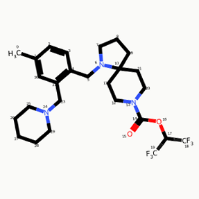 Cc1ccc(CN2CCCC23CCN(C(=O)OC(C(F)(F)F)C(F)(F)F)CC3)c(CN2CCCCC2)c1